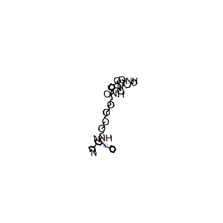 O=C1CCC(N2C(=O)c3cccc(NC(=O)CCOCCOCCOCCOCCNc4ncc(-c5cccnc5)cc4/C=C/c4ccccc4)c3C2=O)C(=O)N1